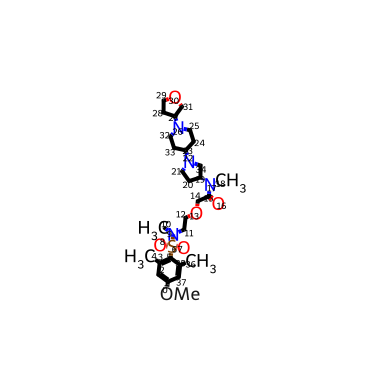 COc1cc(C)c(S(=O)(=O)N(C)CCOCC(=O)N(C)[C@@H]2CCN(C3CCN(C4CCOC4)CC3)C2)c(C)c1